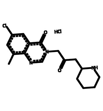 Cc1cc(Cl)cc2c(=O)n(CC(=O)CC3CCCCN3)cnc12.Cl